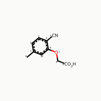 Cc1ccc(C#N)c(OCC(=O)O)c1